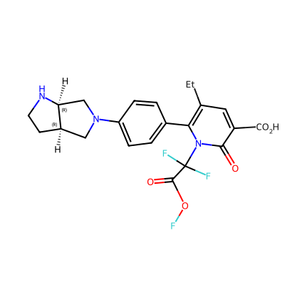 CCc1cc(C(=O)O)c(=O)n(C(F)(F)C(=O)OF)c1-c1ccc(N2C[C@H]3CCN[C@H]3C2)cc1